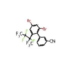 N#Cc1cccc(-c2c(Br)[c]c(Br)cc2C(F)(C(F)(F)F)C(F)(F)C(F)(F)F)c1